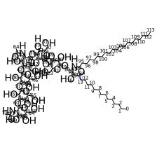 CCCCCCCCCCCCC/C=C/[C@@H](O)[C@H](CO[C@@H]1OC(CO)[C@@H](O[C@@H]2OC(CO)[C@H](O)[C@H](O[C@@H]3OC(CO)[C@@H](O[C@@H]4OC(CO)[C@H](O)[C@H](O[C@H]5OC(CO)[C@H](O)[C@H](O[C@@H]6OC(CO)[C@H](O)[C@H](O)C6NC(C)=O)C5O)C4O)[C@H](O)C3NC(C)=O)C2O)[C@H](O)C1O)NC(=O)CCCCCCCCCCCCCCCCCCC